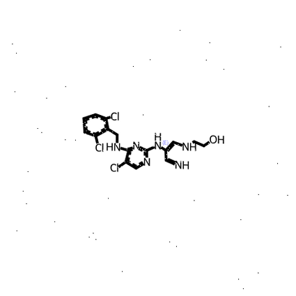 N=C/C(=C\NCCO)Nc1ncc(Cl)c(NCc2c(Cl)cccc2Cl)n1